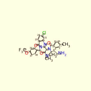 Cc1ccc(C(=O)N(CCCN)C(C(=O)N(C)C)c2nc3cc(Cl)ccc3c(=O)n2Cc2ccc(OC(F)(F)F)cc2)cc1